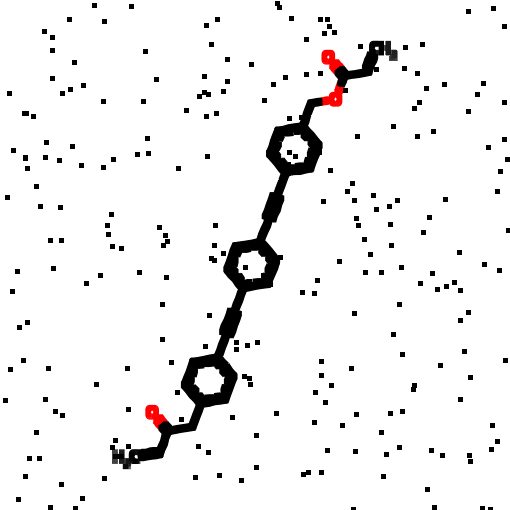 C=CC(=O)Cc1ccc(C#Cc2ccc(C#Cc3ccc(COC(=O)C=C)cc3)cc2)cc1